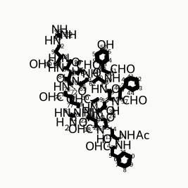 CC(=O)N[C@@H](N[C@H](C=O)Cc1ccccc1)C(=O)C[C@@H](N[C@H](C=O)CC(N)=O)C(=O)N[C@@H](N[C@@H](C)C=O)C(=O)C[C@@H](N[C@H](C=O)Cc1ccccc1)C(=O)N[C@@H](N[C@H](C=O)Cc1ccc(O)cc1)C(=O)C[C@@H](N[C@@H](C)C=O)C(=O)N[C@@](C)(N[C@H](C=O)CCCNC(=N)N)C(=O)C[C@@H](N[C@H](C=O)CCCNC(=N)N)C(N)=O